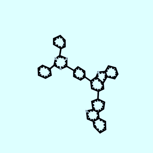 c1ccc(-c2nc(-c3ccccc3)nc(-c3ccc(-c4cc(-c5ccc6c(c5)ncc5ccccc56)cc5c4oc4ccccc45)cc3)n2)cc1